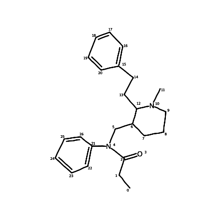 CCC(=O)N(CC1CCCN(C)C1CCc1ccccc1)c1ccccc1